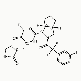 O=C1NCC[C@@H]1C[C@@H](NC(=O)[C@@H]1[C@@H]2CCC[C@@H]2CN1C(=O)C(F)(F)c1cccc(F)c1)C(=O)CF